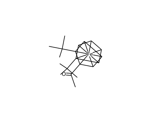 CC(=O)[C]12[CH]3[CH]4[CH]5[C]1(C(C)(C)C)[Fe]43521678[CH]2[CH]1[CH]6[C]7(C(C)(C)C)[CH]28